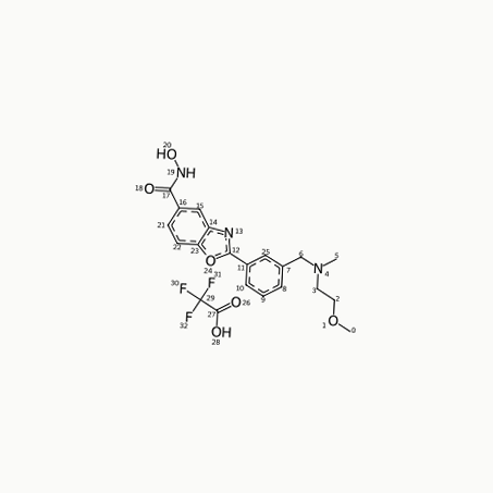 COCCN(C)Cc1cccc(-c2nc3cc(C(=O)NO)ccc3o2)c1.O=C(O)C(F)(F)F